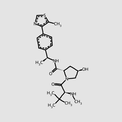 CN[C@H](C(=O)N1C[C@H](O)C[C@H]1C(=O)N[C@@H](C)c1ccc(-c2ncsc2C)cc1)C(C)(C)C